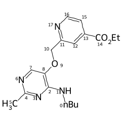 CCCCNc1nc(C)ncc1OCc1cc(C(=O)OCC)ccn1